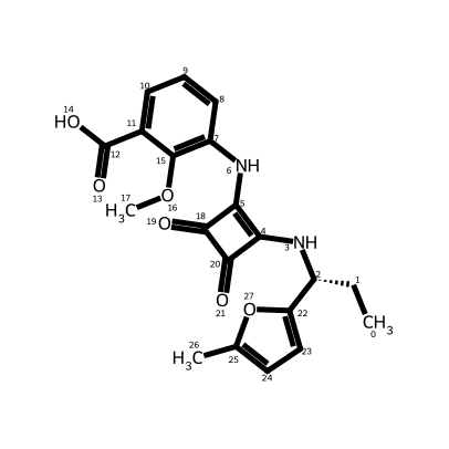 CC[C@@H](Nc1c(Nc2cccc(C(=O)O)c2OC)c(=O)c1=O)c1ccc(C)o1